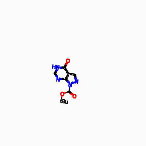 CC(C)(C)OC(=O)n1ncc2c(=O)[nH]cnc21